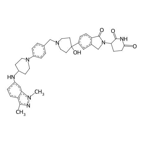 Cc1nn(C)c2cc(NC3CCN(c4ccc(CN5CCC(O)(c6ccc7c(c6)CN(C6CCC(=O)NC6=O)C7=O)CC5)cc4)CC3)ccc12